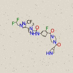 Cn1c(-c2cn(CC(F)F)nc2C(F)(F)F)cnc1C(=O)Nc1ccc(C(=O)N2CCN(C(=O)C3C4CNCC43)CC2)c(F)c1